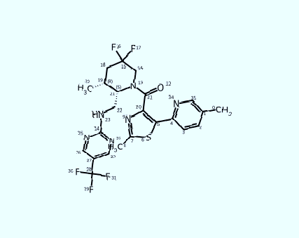 Cc1ccc(-c2sc(C)nc2C(=O)N2CC(F)(F)C[C@@H](C)[C@H]2CNc2ncc(C(F)(F)F)cn2)nc1